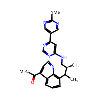 CNC(=O)c1ccnc2c(C(C)[C@H](C)CNc3cc(-c4cnc(NC)nc4)ncn3)cccc12